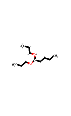 CCCC[Si](OCCC)OCCC